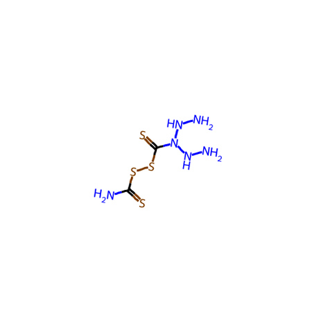 NNN(NN)C(=S)SSC(N)=S